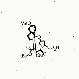 COc1ccc2c(OC3CC(C(=O)O)N(C(=O)C(NC(=O)OC(C)(C)C)C(C)(C)C)C3)nccc2c1